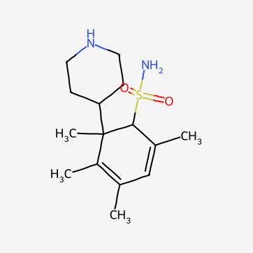 CC1=CC(C)=C(C)C(C)(C2CCNCC2)C1S(N)(=O)=O